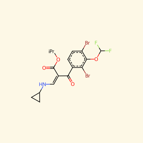 CC(C)OC(=O)C(=CNC1CC1)C(=O)c1ccc(Br)c(OC(F)F)c1Br